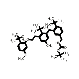 COc1ccc(C(C)(C)C)c(OCCc2cc(C)cc(Cc3cc(CNC(=O)OC(C)(C)C)ccc3C(C)(C)C)c2C(C)(C)C)c1